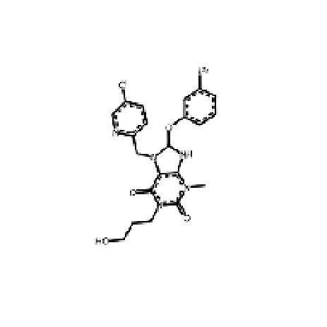 CC(C)c1cccc(OC2Nc3c(c(=O)n(CCCO)c(=O)n3C)N2Cc2ccc(Cl)cn2)c1